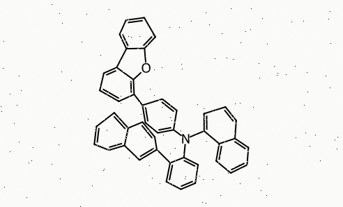 c1ccc(N(c2ccc(-c3cccc4c3oc3ccccc34)cc2)c2cccc3ccccc23)c(-c2ccc3ccccc3c2)c1